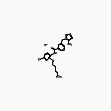 CCCCCCCCCCCCCCOc1cc(Cl)ccc1NC(=O)c1cccc(C[n+]2cscc2C)c1.[Br-]